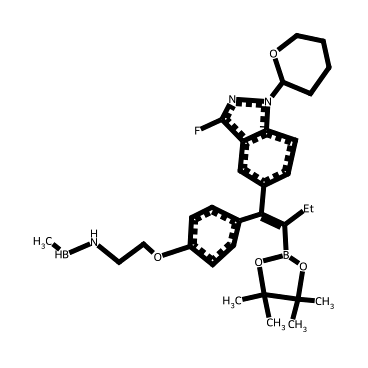 CBNCCOc1ccc(/C(=C(/CC)B2OC(C)(C)C(C)(C)O2)c2ccc3c(c2)c(F)nn3C2CCCCO2)cc1